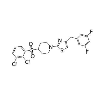 O=S(=O)(c1cccc(Cl)c1Cl)C1CCN(c2nc(Cc3cc(F)cc(F)c3)cs2)CC1